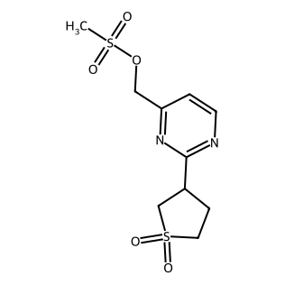 CS(=O)(=O)OCc1ccnc(C2CCS(=O)(=O)C2)n1